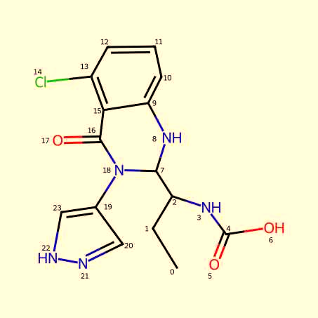 CCC(NC(=O)O)C1Nc2cccc(Cl)c2C(=O)N1c1cn[nH]c1